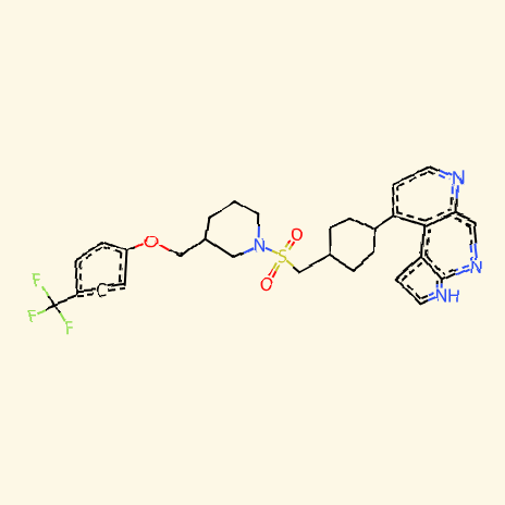 O=S(=O)(CC1CCC(c2ccnc3cnc4[nH]ccc4c23)CC1)N1CCCC(COc2ccc(C(F)(F)F)cc2)C1